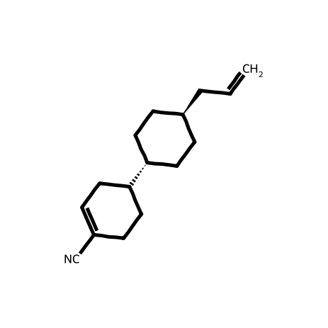 C=CC[C@H]1CC[C@H](C2CC=C(C#N)CC2)CC1